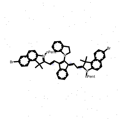 CCCCCN1/C(=C/C=C2C(N3CCc4ccccc43)=C(/C=C/C3=[N+](CCCCC)c4ccc5cc(Br)ccc5c4C3(C)C)c3ccccc3/2)C(C)(C)c2c1ccc1cc(Br)ccc21